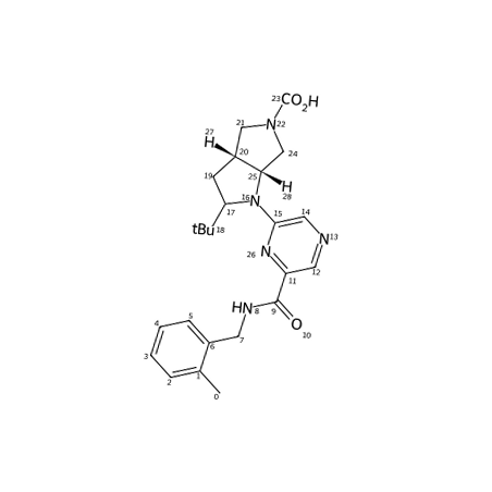 Cc1ccccc1CNC(=O)c1cncc(N2C(C(C)(C)C)C[C@@H]3CN(C(=O)O)C[C@@H]32)n1